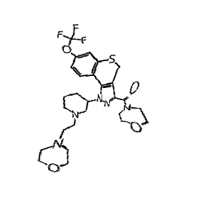 O=C(c1nn(C2CCCN(CCN3CCOCC3)C2)c2c1CSc1cc(OC(F)(F)F)ccc1-2)N1CCOCC1